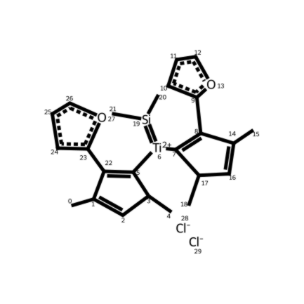 CC1=CC(C)[C]([Ti+2]([C]2=C(c3ccco3)C(C)=CC2C)=[Si](C)C)=C1c1ccco1.[Cl-].[Cl-]